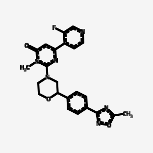 Cc1nc(-c2ccc(C3CN(c4nc(-c5ccncc5F)cc(=O)n4C)CCO3)cc2)no1